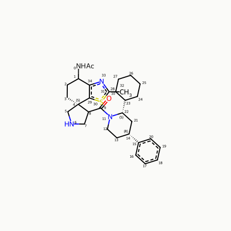 CC(=O)NC1CC[C@]2(CNCC2C(=O)N2CC[C@@H](c3ccccc3)C[C@H]2C2CCCCC2)c2sc(C)nc21